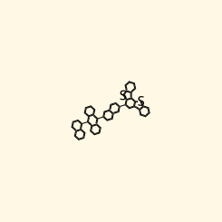 c1ccc2c(-c3c4ccccc4c(-c4ccc5cc(-c6cc7c8ccccc8sc7c7c6sc6ccccc67)ccc5c4)c4ccccc34)cccc2c1